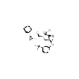 CC1(C)c2[nH]nc(Nc3cc(C(F)(F)F)ccn3)c2CN1C(=O)N[C@H]1C[C@@H]1c1ccccc1